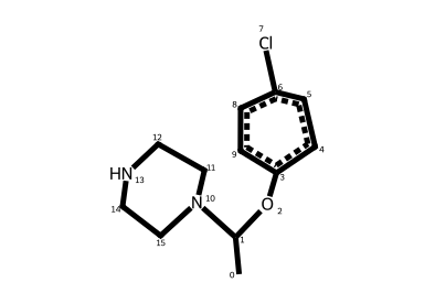 CC(Oc1ccc(Cl)cc1)N1CCNCC1